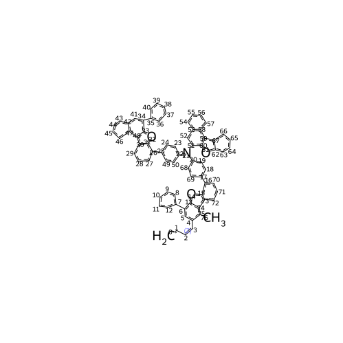 C=C/C=C\c1cc(-c2ccccc2)c2oc3c(-c4ccc(N(c5ccc(-c6cccc7c6oc6c(-c8ccccc8)cc8ccccc8c67)cc5)c5cc6ccccc6c6c5oc5ccccc56)cc4)cccc3c2c1C